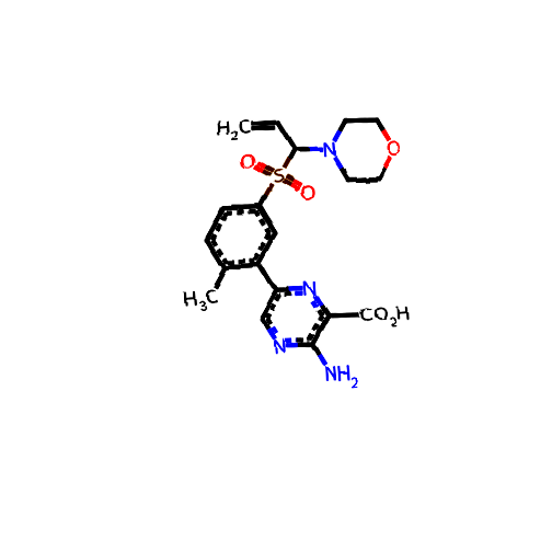 C=CC(N1CCOCC1)S(=O)(=O)c1ccc(C)c(-c2cnc(N)c(C(=O)O)n2)c1